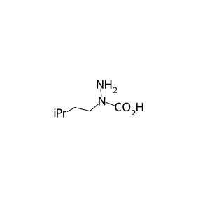 CC(C)CCN(N)C(=O)O